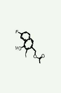 CC(=O)OCc1cc2ccc(F)cc2c(O)c1I